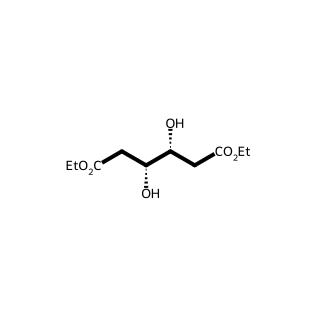 CCOC(=O)C[C@@H](O)[C@H](O)CC(=O)OCC